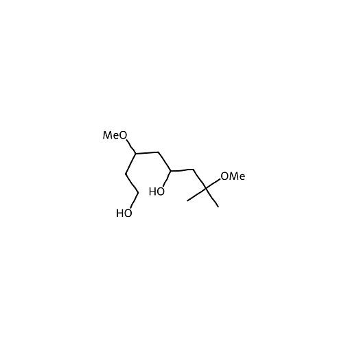 COC(CCO)CC(O)CC(C)(C)OC